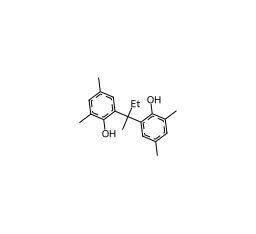 CCC(C)(c1cc(C)cc(C)c1O)c1cc(C)cc(C)c1O